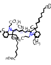 CCCCCCCCCCCCCCCCCCC1(C)C(/C=C/C(C#N)=C/C=C2/N(CCC(=O)O)c3c(C)cccc3C2(C)CCCCCCCCCCCCCCCCCC)=[N+](CCC(=O)O)c2c(C)cccc21